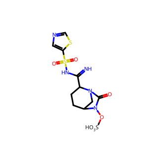 N=C(NS(=O)(=O)c1cncs1)C1CCC2CN1C(=O)N2OS(=O)(=O)O